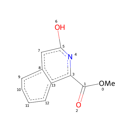 COC(=O)c1nc(O)cc2ccccc12